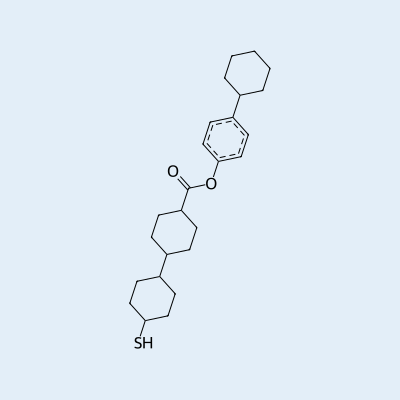 O=C(Oc1ccc(C2CCCCC2)cc1)C1CCC(C2CCC(S)CC2)CC1